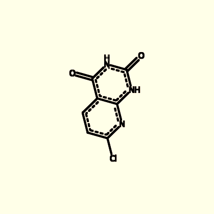 O=c1[nH]c(=O)c2ccc(Cl)nc2[nH]1